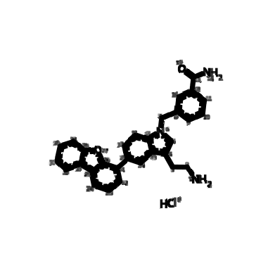 Cl.NCCc1cn(Cc2cccc(C(N)=O)c2)c2ccc(-c3cccc4c3oc3ccccc34)cc12